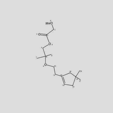 COCC(=O)OCC(C)(C)OCCC1=CCC(C)(C)C1